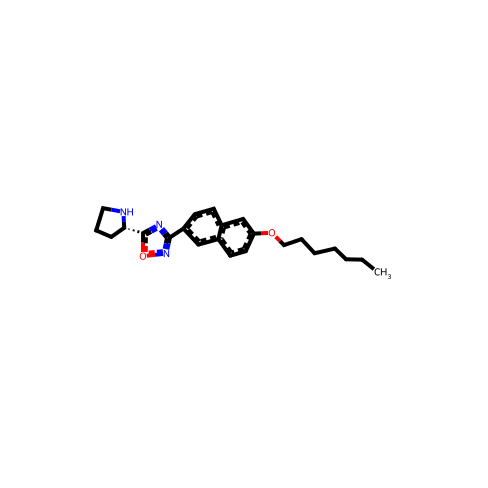 CCCCCCCOc1ccc2cc(-c3noc([C@@H]4CCCN4)n3)ccc2c1